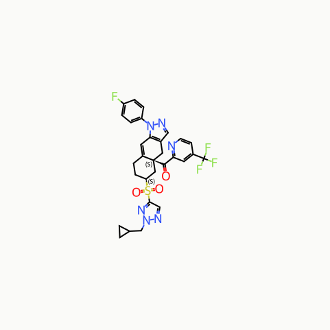 O=C(c1cc(C(F)(F)F)ccn1)[C@]12Cc3cnn(-c4ccc(F)cc4)c3C=C1CC[C@H](S(=O)(=O)c1cnn(CC3CC3)n1)C2